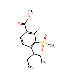 CCC(CC)c1ccc(C(=O)OC)c(F)c1S(C)(=O)=O